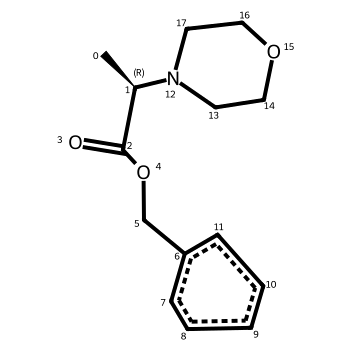 C[C@H](C(=O)OCc1ccccc1)N1CCOCC1